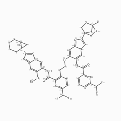 CCOc1cc2nc([C@]34CCOC[C@H]3C4)cn2cc1NC(=O)c1nc(C(F)F)ccc1CCOc1cc2nc(C34CCC(C)(C3)OC4)cn2cc1NC(=O)c1cccc(C(F)F)n1